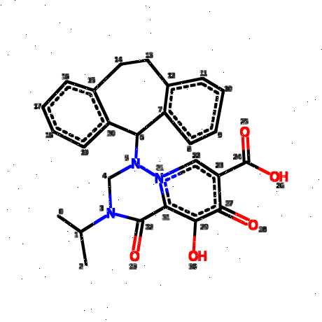 CC(C)N1CN(C2c3ccccc3CCc3ccccc32)n2cc(C(=O)O)c(=O)c(O)c2C1=O